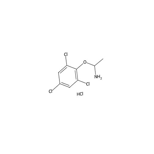 CC(N)Oc1c(Cl)cc(Cl)cc1Cl.Cl